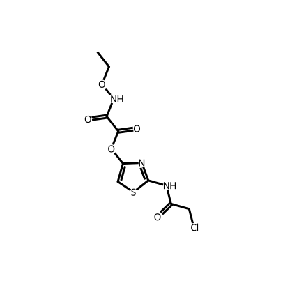 CCONC(=O)C(=O)Oc1csc(NC(=O)CCl)n1